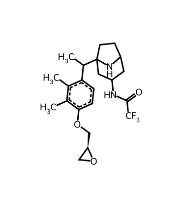 Cc1c(OC[C@@H]2CO2)ccc(C(C)C23CCC(CC(NC(=O)C(F)(F)F)C2)N3)c1C